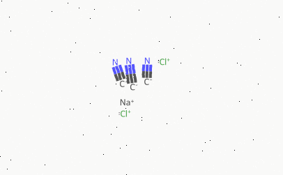 [C-]#N.[C-]#N.[C-]#N.[Cl+].[Cl+].[Na+]